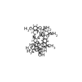 Cc1ccc(OC[C@@H](N)CCC(N)=O)c(F)c1CCCCCC(=O)N[C@H](C(=O)N1C[C@H](O)C[C@H]1C(=O)N[C@@H](C)c1ccc(-c2scnc2C)cc1)C(C)(C)C